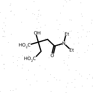 CCN(CC)C(=O)CC(O)(CC(=O)O)C(=O)O